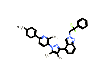 CCOC(=O)C1CC=C(c2ccc(-n3nc(-c4cccc5nn(CC(F)(F)c6ccccc6)cc45)c(C(C)C)c3C)c(C)n2)CC1